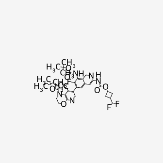 Cc1c(-c2cc3cc(NC(=O)OC4CC(C(F)F)C4)ncc3c(NC(=O)OC(C)(C)C)c2F)cnc2c1N(C(=O)OC(C)(C)C)CCO2